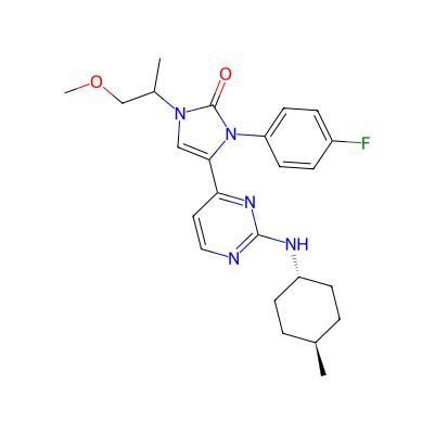 COCC(C)n1cc(-c2ccnc(N[C@H]3CC[C@H](C)CC3)n2)n(-c2ccc(F)cc2)c1=O